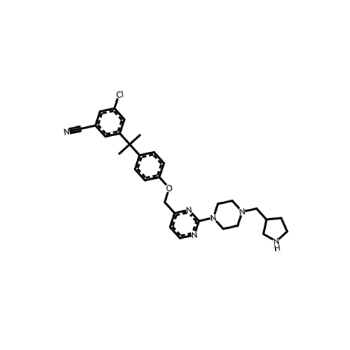 CC(C)(c1ccc(OCc2ccnc(N3CCN(CC4CCNC4)CC3)n2)cc1)c1cc(Cl)cc(C#N)c1